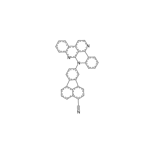 N#Cc1ccc2c3c(cccc13)-c1ccc(N3c4ccccc4-c4nccc5c4c3nc3ccccc35)cc1-2